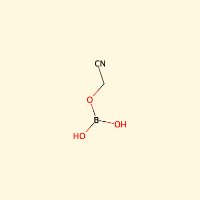 N#CCOB(O)O